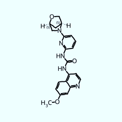 COc1ccc2c(NC(=O)Nc3cccc(N4C[C@@H]5C[C@H]4CO5)n3)ccnc2c1